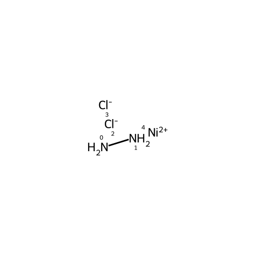 NN.[Cl-].[Cl-].[Ni+2]